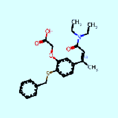 CCN(CC)C(=O)/C=C(/C)c1ccc(SCc2ccccc2)c(OCC(=O)O)c1